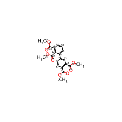 COC(=O)c1ccc(-c2cccc(C(=O)OC)c2C(=O)OC)cc1C(=O)OC